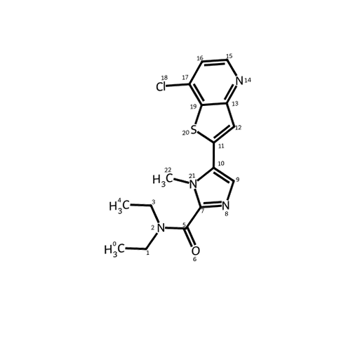 CCN(CC)C(=O)c1ncc(-c2cc3nccc(Cl)c3s2)n1C